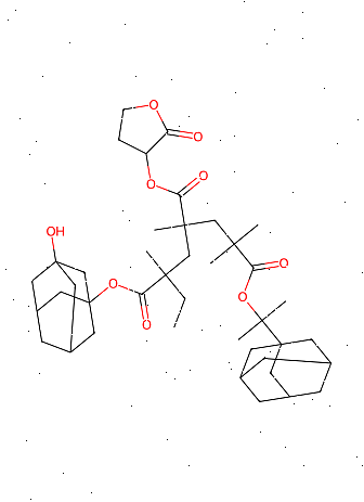 CCC(C)(CC(C)(CC(C)(C)C(=O)OC(C)(C)C12CC3CC(CC(C3)C1)C2)C(=O)OC1CCOC1=O)C(=O)OC12CC3CC(CC(O)(C3)C1)C2